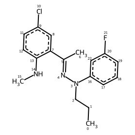 CCCN(/N=C(\C)c1cc(Cl)ccc1NC)c1cccc(F)c1